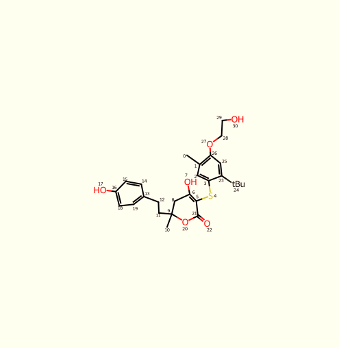 Cc1cc(SC2=C(O)CC(C)(CCc3ccc(O)cc3)OC2=O)c(C(C)(C)C)cc1OCCO